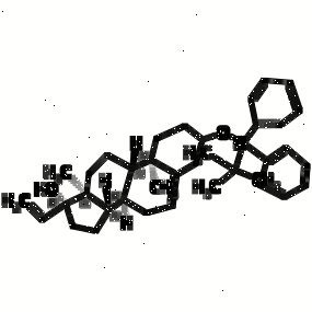 C=C[C@]1(O)CC[C@H]2[C@@H]3CC=C4CC(O[Si](c5ccccc5)(c5ccccc5)C(C)(C)C)CC[C@]4(C)[C@H]3CC[C@@]21C